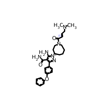 CN(C)C/C=C/C(=O)N1CCCC[C@H](n2nc(-c3ccc(Oc4ccccc4)cc3)c(C(N)=O)c2N)CC1